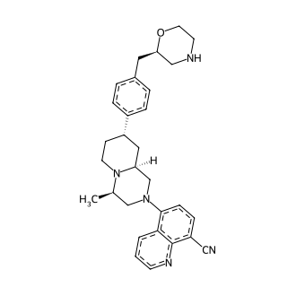 C[C@@H]1CN(c2ccc(C#N)c3ncccc23)C[C@@H]2C[C@@H](c3ccc(C[C@@H]4CNCCO4)cc3)CCN21